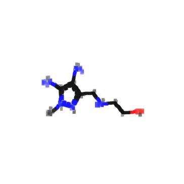 CC(C)n1nc(CNCCO)c(N)c1N